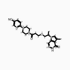 Cc1cn(C(C)COCCC(=O)N2CCN(c3ccc(C#N)cn3)CC2)c2cn[nH]c(=O)c12